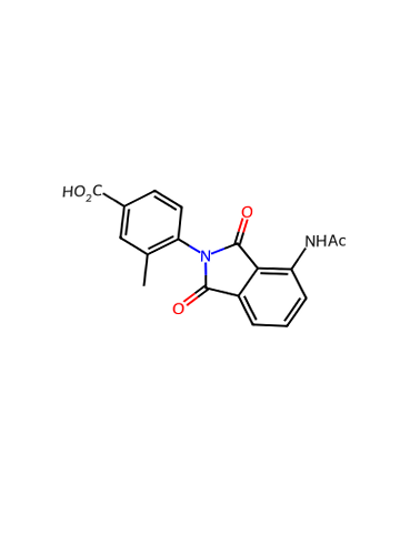 CC(=O)Nc1cccc2c1C(=O)N(c1ccc(C(=O)O)cc1C)C2=O